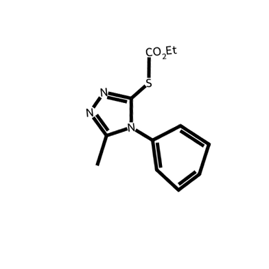 CCOC(=O)Sc1nnc(C)n1-c1ccccc1